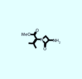 COC(=O)C(=C(C)C)N1CC(N)C1=O